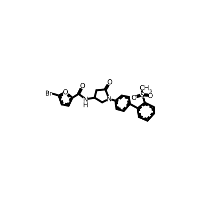 CS(=O)(=O)c1ccccc1-c1ccc(N2CC(NC(=O)c3ccc(Br)o3)CC2=O)cc1